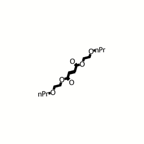 CCCOCCOC(=O)/C=C/C(=O)OCCOCCC